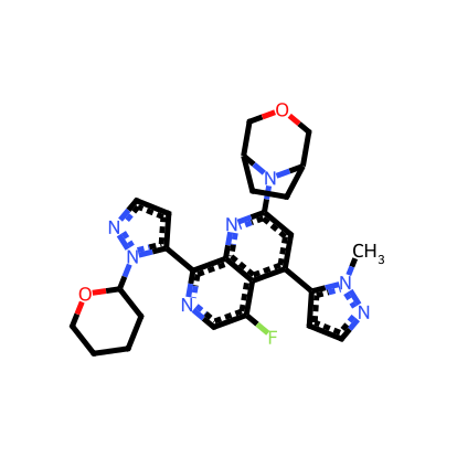 Cn1nccc1-c1cc(N2C3CCC2COC3)nc2c(-c3ccnn3C3CCCCO3)ncc(F)c12